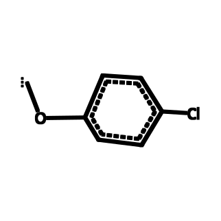 [C]Oc1ccc(Cl)cc1